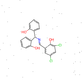 Oc1ccccc1C(/N=C/c1cc(Cl)cc(Cl)c1O)c1ccccc1O